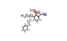 CC(COCc1ccccc1)Oc1cccc2c1B(O)OC2C#N